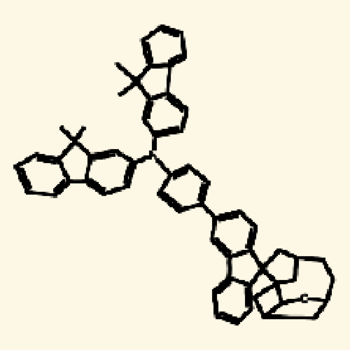 CC1(C)c2ccccc2-c2ccc(N(c3ccc(-c4ccc5c(c4)-c4ccccc4C54CC5CCC6CC7CC4(C5)C7C6)cc3)c3ccc4c(c3)C(C)(C)c3ccccc3-4)cc21